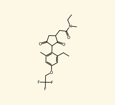 CCc1cc(OCC(F)(F)F)cc(C)c1C1C(=O)CC(CC(=O)N(C)CC)C1=O